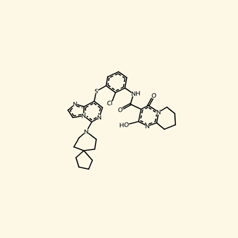 O=C(Nc1cccc(Sc2cnc(N3CCC4(CCCC4)CC3)n3ccnc23)c1Cl)c1c(O)nc2n(c1=O)CCCC2